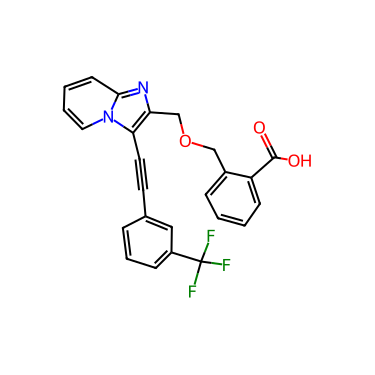 O=C(O)c1ccccc1COCc1nc2ccccn2c1C#Cc1cccc(C(F)(F)F)c1